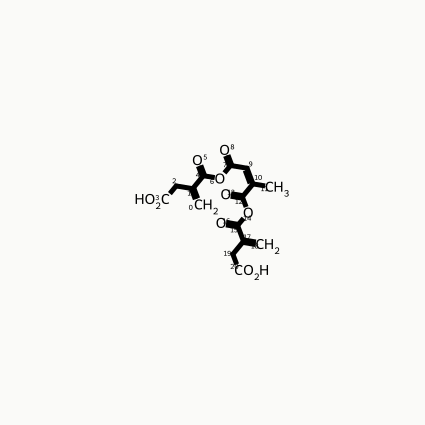 C=C(CC(=O)O)C(=O)OC(=O)/C=C(/C)C(=O)OC(=O)C(=C)CC(=O)O